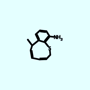 CC1/C=C\C=C/CSc2c(N)cccc21